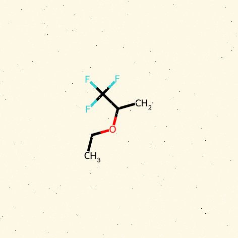 [CH2]C(OCC)C(F)(F)F